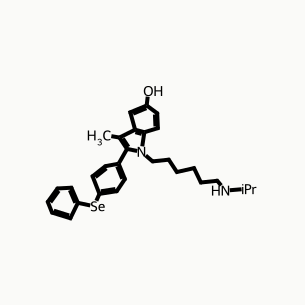 Cc1c(-c2ccc([Se]c3ccccc3)cc2)n(CCCCCCNC(C)C)c2ccc(O)cc12